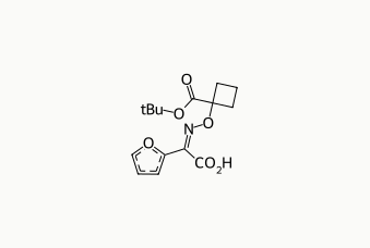 CC(C)(C)OC(=O)C1(ON=C(C(=O)O)c2ccco2)CCC1